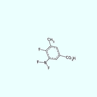 Cc1cc(C(=O)O)cc(B(F)F)c1F